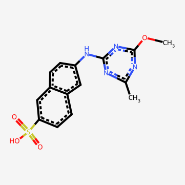 COc1nc(C)nc(Nc2ccc3cc(S(=O)(=O)O)ccc3c2)n1